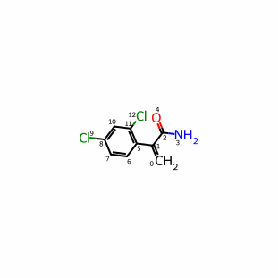 C=C(C(N)=O)c1ccc(Cl)cc1Cl